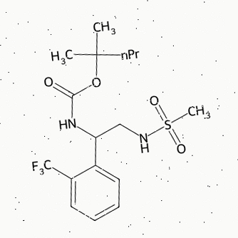 CCCC(C)(C)OC(=O)NC(CNS(C)(=O)=O)c1ccccc1C(F)(F)F